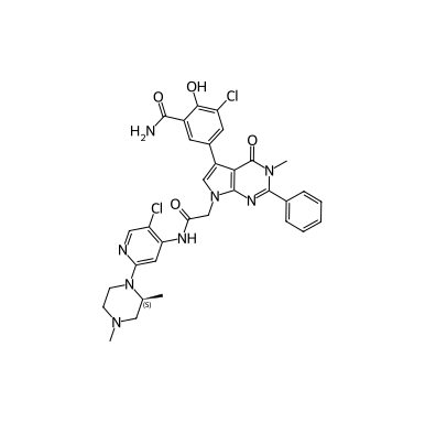 C[C@H]1CN(C)CCN1c1cc(NC(=O)Cn2cc(-c3cc(Cl)c(O)c(C(N)=O)c3)c3c(=O)n(C)c(-c4ccccc4)nc32)c(Cl)cn1